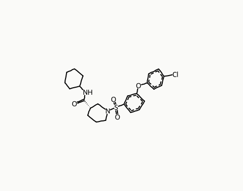 O=C(NC1CCCCC1)[C@H]1CCCN(S(=O)(=O)c2cccc(Oc3ccc(Cl)cc3)c2)C1